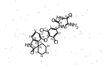 Nc1nn(-c2cc(Cl)c(Oc3cccc4c3C3(CCCCC3)C(=O)N4)c(Cl)c2)c(=O)[nH]c1=O